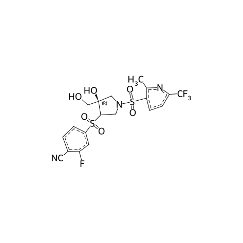 Cc1nc(C(F)(F)F)ccc1S(=O)(=O)N1CC(S(=O)(=O)c2ccc(C#N)c(F)c2)[C@](O)(CO)C1